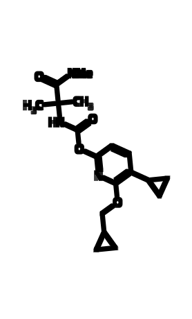 CNC(=O)C(C)(C)NC(=O)Oc1ccc(C2CC2)c(OCC2CC2)n1